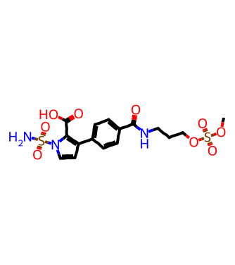 COS(=O)(=O)OCCCNC(=O)c1ccc(-c2ccn(S(N)(=O)=O)c2C(=O)O)cc1